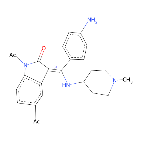 CC(=O)c1ccc2c(c1)/C(=C(\NC1CCN(C)CC1)c1ccc(N)cc1)C(=O)N2C(C)=O